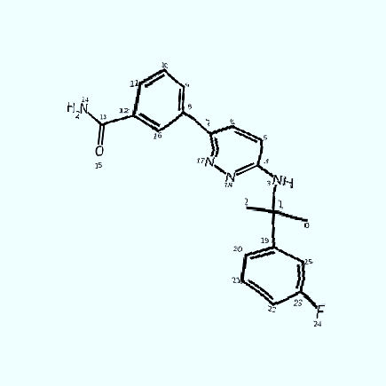 CC(C)(Nc1ccc(-c2cccc(C(N)=O)c2)nn1)c1cccc(F)c1